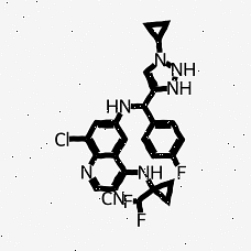 N#Cc1cnc2c(Cl)cc(NC(C3=CN(C4CC4)NN3)c3ccc(F)cc3)cc2c1NC1(C(F)F)CC1